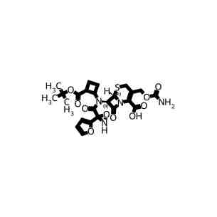 CC(C)(C)OC(=O)C1CCC1N(C(=O)C1(c2ccco2)NO1)[C@@H]1C(=O)N2C(C(=O)O)=C(COC(N)=O)CS[C@H]12